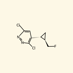 FC[C@@H]1C[C@H]1c1cc(Cl)nnc1Cl